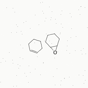 C1=CCCCC1.C1CCC2OC2C1